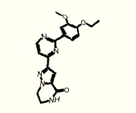 CCOc1ccc(-c2nccc(-c3cc4n(n3)CCNC4=O)n2)cc1OC